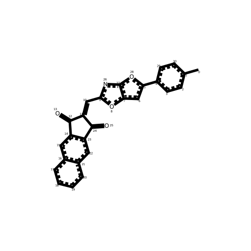 Cc1ccc(-c2cc3oc(C=C4C(=O)c5cc6ccccc6cc5C4=O)nc3o2)cc1